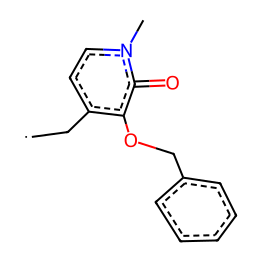 [CH2]Cc1ccn(C)c(=O)c1OCc1ccccc1